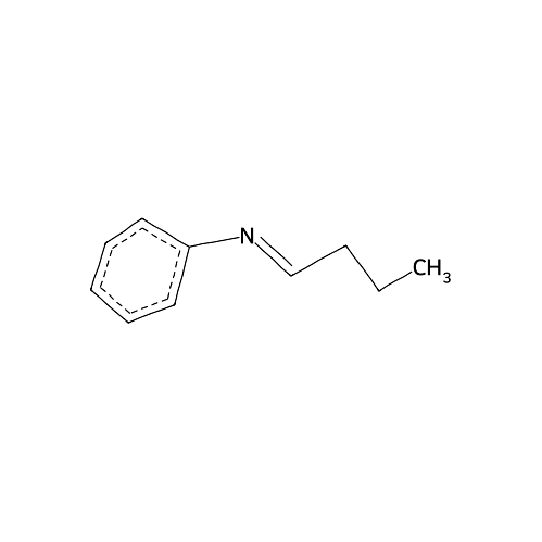 CCCC=Nc1ccccc1